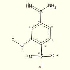 COc1cc(C(=N)N)ccc1S(C)(=O)=O